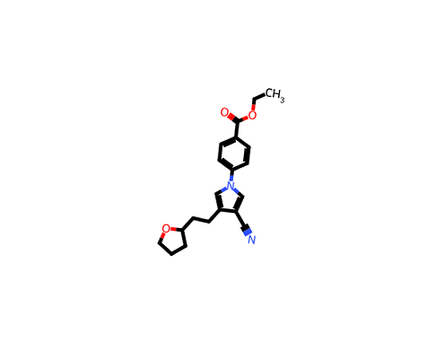 CCOC(=O)c1ccc(-n2cc(C#N)c(CCC3CCCO3)c2)cc1